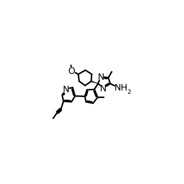 CC#Cc1cncc(-c2ccc(C)c([C@]3(C4CCC(OC)CC4)N=C(C)C(N)=N3)c2)c1